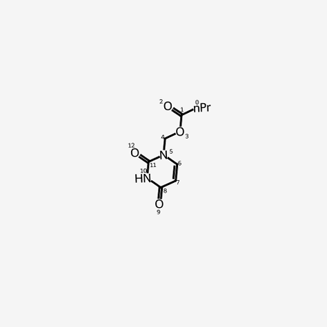 CCCC(=O)OCn1ccc(=O)[nH]c1=O